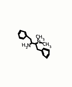 CN(C)[C](Cc1ccccc1)C(N)Cc1ccccc1